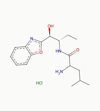 CC[C@H](NC(=O)C(N)CC(C)C)[C@H](O)c1nc2ccccc2o1.Cl